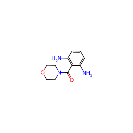 Nc1cccc(N)c1C(=O)N1CCOCC1